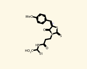 CCC(NC(=O)CCN1C(=O)/C(=C\c2ccc(OC)cc2)SC1=S)C(=O)O